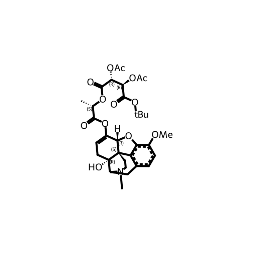 COc1ccc2c3c1O[C@H]1C(OC(=O)[C@H](C)OC(=O)[C@H](OC(C)=O)[C@@H](OC(C)=O)C(=O)OC(C)(C)C)=CC[C@]4(O)C(C2)N(C)CC[C@]314